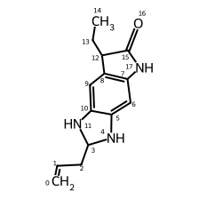 C=CCC1Nc2cc3c(cc2N1)C(CC)C(=O)N3